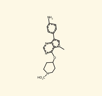 Cn1cc(-c2ccc(N)cc2)c2ncnc(OC3CCN(C(=O)O)CC3)c21